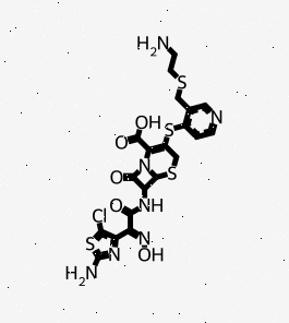 NCCSCc1cnccc1SC1=C(C(=O)O)N2C(=O)C(NC(=O)C(=NO)c3nc(N)sc3Cl)C2SC1